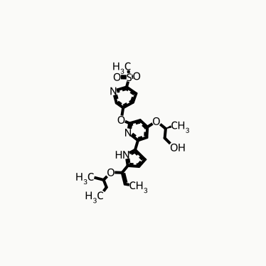 C/C=C(/OC(C)CC)c1ccc(-c2cc(O[C@@H](C)CO)cc(Oc3ccc(S(C)(=O)=O)nc3)n2)[nH]1